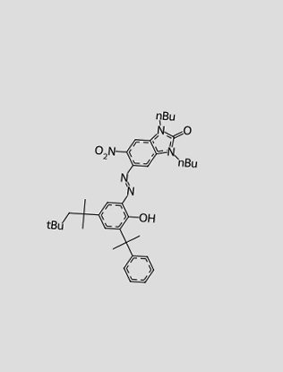 CCCCn1c(=O)n(CCCC)c2cc([N+](=O)[O-])c(/N=N/c3cc(C(C)(C)CC(C)(C)C)cc(C(C)(C)c4ccccc4)c3O)cc21